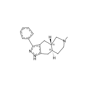 CN1CC[C@H]2Cc3[nH]nc(-c4ccccc4)c3C[C@@H]2C1